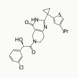 CC(C)c1csc(C2(c3nc4c(c(=O)[nH]3)CN(C(=O)[C@H](O)c3cccc(Cl)c3)CC4)CC2)c1